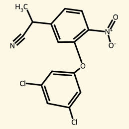 CC(C#N)c1ccc([N+](=O)[O-])c(Oc2cc(Cl)cc(Cl)c2)c1